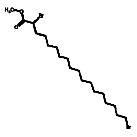 COC(=O)C(Br)CCCCCCCCCCCCCCCCBr